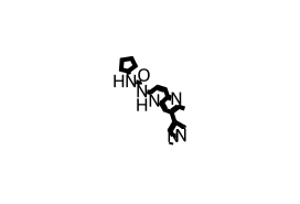 Cc1nc2ccc(NC(=O)NC3CCCC3)nc2cc1-c1cnn(C)c1